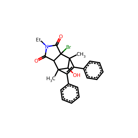 CCN1C(=O)C2C3(C)C(c4ccccc4)=C(c4ccccc4)C(C)(C3O)C2(Br)C1=O